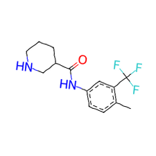 Cc1ccc(NC(=O)C2CCCNC2)cc1C(F)(F)F